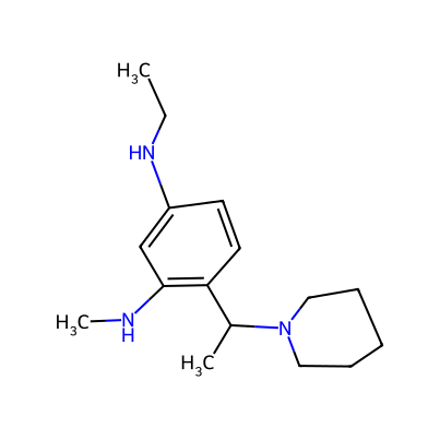 CCNc1ccc(C(C)N2CCCCC2)c(NC)c1